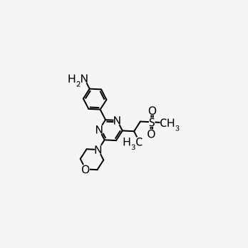 CC(CS(C)(=O)=O)c1cc(N2CCOCC2)nc(-c2ccc(N)cc2)n1